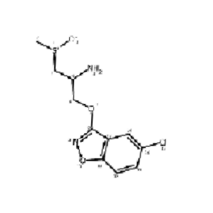 C[S+]([O-])CC(N)COc1noc2ccc(Cl)cc12